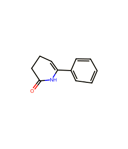 O=C1CCC=C(c2ccccc2)N1